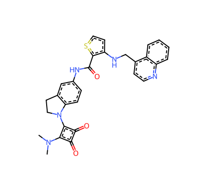 CN(C)c1c(N2CCc3cc(NC(=O)c4sccc4NCc4ccnc5ccccc45)ccc32)c(=O)c1=O